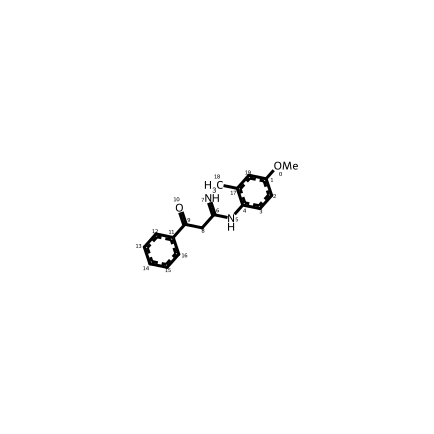 COc1ccc(NC(=N)CC(=O)c2ccccc2)c(C)c1